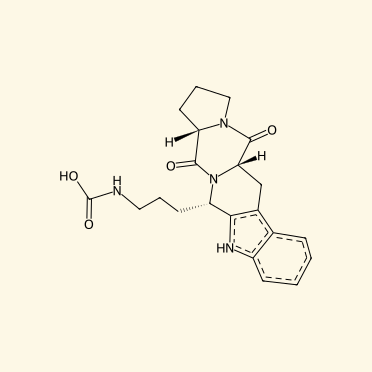 O=C(O)NCCC[C@H]1c2[nH]c3ccccc3c2C[C@H]2C(=O)N3CCC[C@H]3C(=O)N21